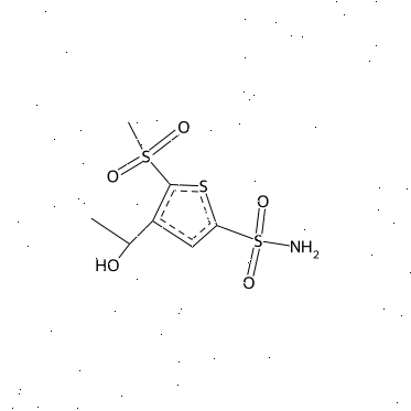 CC(O)c1cc(S(N)(=O)=O)sc1S(C)(=O)=O